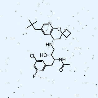 CC(=O)N[C@@H](Cc1cc(F)cc(Cl)c1)[C@H](O)CN[C@H]1CC2(CCC2)Oc2ncc(CC(C)(C)C)cc21